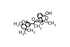 C=C(C(=O)Nc1cccc(C(=O)O)c1C(=O)OCC)c1ccc2c(c1)C(C)(C)CCC2(C)C